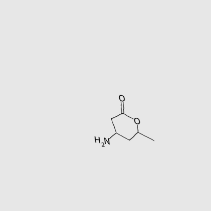 CC1CC(N)CC(=O)O1